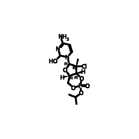 CC(C)OP1(=O)OC[C@H]2O[C@@H](N3C=CC(N)=NC3O)[C@](C)(Cl)[C@@H]2O1